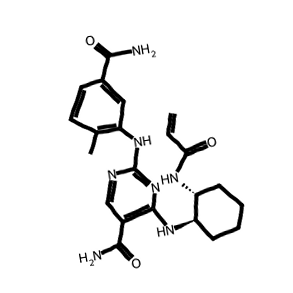 C=CC(=O)N[C@@H]1CCCC[C@H]1Nc1nc(Nc2cc(C(N)=O)ccc2C)ncc1C(N)=O